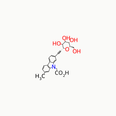 Cc1ccc2c3ccc(C#C[C@H]4O[C@H](CO)[C@@H](O)[C@H](O)[C@@H]4O)cc3n(CC(=O)O)c2c1